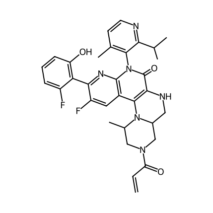 C=CC(=O)N1CC(C)N2c3c(c(=O)n(-c4c(C)ccnc4C(C)C)c4nc(-c5c(O)cccc5F)c(F)cc34)NCC2C1